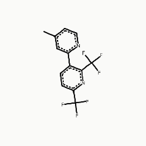 Cc1ccnc(-c2ccc(C(F)(F)F)nc2C(F)(F)F)c1